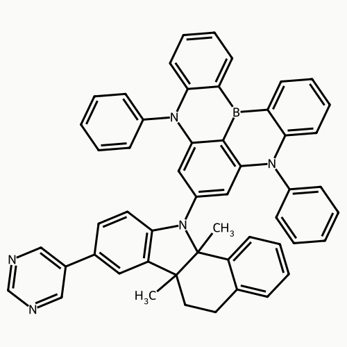 CC12CCc3ccccc3C1(C)N(c1cc3c4c(c1)N(c1ccccc1)c1ccccc1B4c1ccccc1N3c1ccccc1)c1ccc(-c3cncnc3)cc12